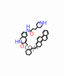 C1=c2ccc3c(c2CCC1CCC1CCCCC1)CC=c1ccccc1=3.O=C(O)CC1=Cc2cc(NC(=O)CCC3CCNCC3)ccc2CNC1=O